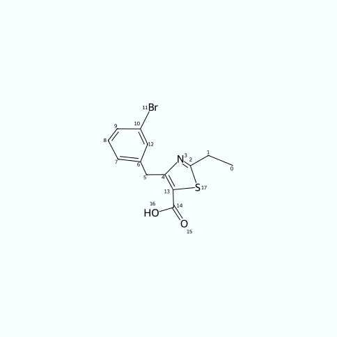 CCc1nc(Cc2cccc(Br)c2)c(C(=O)O)s1